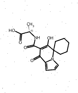 C[C@H](NC(=O)C1=C(O)C2(CCCCC2)n2cccc2C1=O)C(=O)O